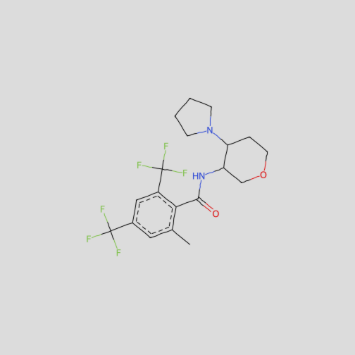 Cc1cc(C(F)(F)F)cc(C(F)(F)F)c1C(=O)NC1COCCC1N1CCCC1